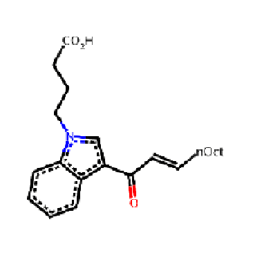 CCCCCCCCC=CC(=O)c1cn(CCCC(=O)O)c2ccccc12